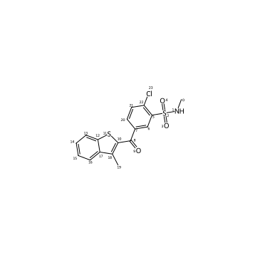 CNS(=O)(=O)c1cc(C(=O)c2sc3ccccc3c2C)ccc1Cl